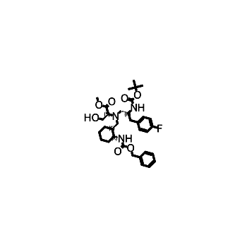 COC(=O)[C@H](CO)N(C[C@@H](Cc1ccc(F)cc1)NC(=O)OC(C)(C)C)C[C@@H]1CCCC[C@H]1NC(=O)OCc1ccccc1